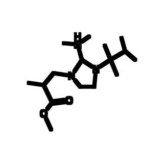 COC(=O)C(C)CN1CCN(C(C)(C)C(C)C)C1[SiH](C)C